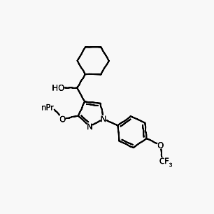 CCCOc1nn(-c2ccc(OC(F)(F)F)cc2)cc1C(O)C1CCCCC1